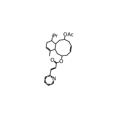 CC(=O)OC1CC=CCC(OC(=O)C=Cc2ccccn2)CC2C(C)=CCC(C(C)C)C2C1